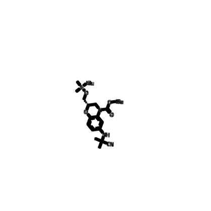 CC(C)(C#N)Nc1ccc2c(c1)N(C(=O)OC(C)(C)C)C[C@@H](CO[Si](C)(C)C(C)(C)C)O2